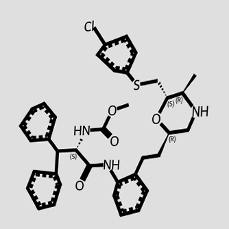 COC(=O)N[C@H](C(=O)Nc1ccccc1CC[C@@H]1CN[C@H](C)[C@@H](CSc2ccc(Cl)cc2)O1)C(c1ccccc1)c1ccccc1